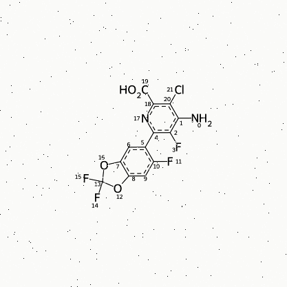 Nc1c(F)c(-c2cc3c(cc2F)OC(F)(F)O3)nc(C(=O)O)c1Cl